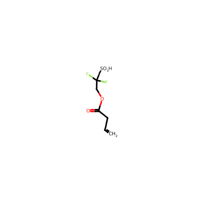 C=CCC(=O)OCC(F)(F)S(=O)(=O)O